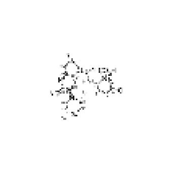 Cc1cc([C@@H](C)Nc2ccc(Cl)nc2C(=O)O)c2nc(N3C[C@@H](C)OC[C@H]3C)c(C#N)nc2c1